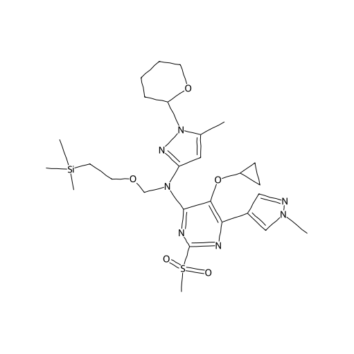 Cc1cc(N(COCC[Si](C)(C)C)c2nc(S(C)(=O)=O)nc(-c3cnn(C)c3)c2OC2CC2)nn1C1CCCCO1